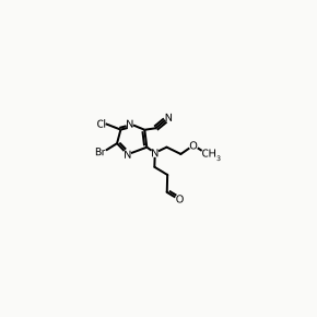 COCCN(CCC=O)c1nc(Br)c(Cl)nc1C#N